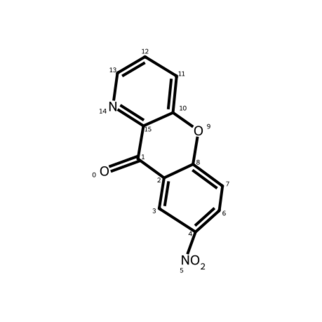 O=c1c2cc([N+](=O)[O-])ccc2oc2cccnc12